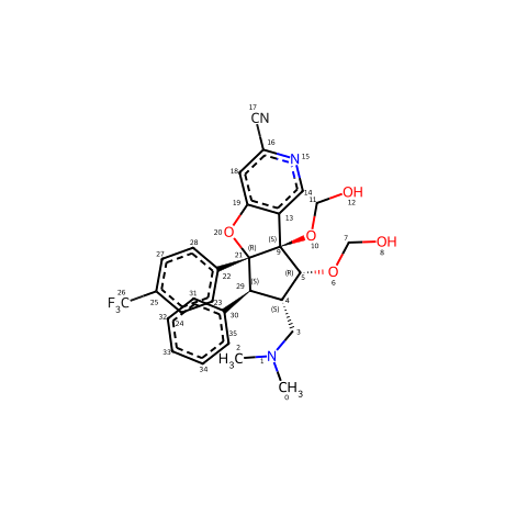 CN(C)C[C@H]1[C@@H](OCO)[C@@]2(OCO)c3cnc(C#N)cc3O[C@@]2(c2ccc(C(F)(F)F)cc2)[C@@H]1c1ccccc1